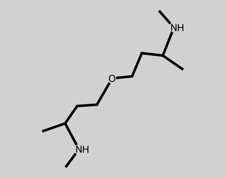 CNC(C)CCOCCC(C)NC